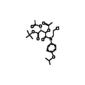 CC(=O)O[C@@H](C(=O)OC(C)(C)C)[C@@H](OC(C)=O)C(=O)N(CCCl)c1ccc(OC(C)C)cc1